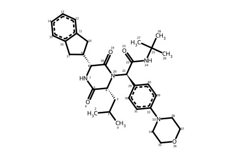 CC(C)C[C@@H]1C(=O)N[C@H](C2Cc3ccccc3C2)C(=O)N1[C@@H](C(=O)NC(C)(C)C)c1ccc(N2CCOCC2)cc1